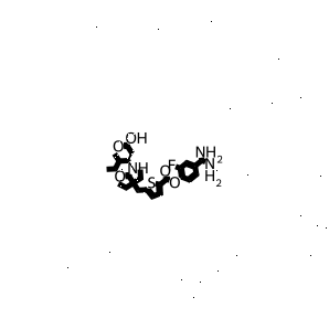 CCC(C)[C@@H](CC(=O)O)NC(=O)C(CC)(CC)Cc1ccc(C(=O)Oc2ccc(C(N)N)cc2F)s1